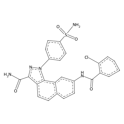 NC(=O)c1nn(-c2ccc(S(N)(=O)=O)cc2)c2c1ccc1ccc(NC(=O)c3ccccc3Cl)cc12